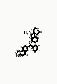 NC(=O)C1(c2cccc(OC(c3ccc4c(ccc5nncn54)c3)c3ccccn3)c2)CCOCC1